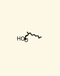 CCCCCCCC(C)C=CC(=O)O